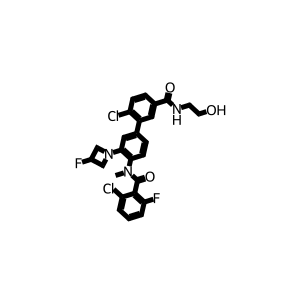 CN(C(=O)c1c(F)cccc1Cl)c1ccc(-c2cc(C(=O)NCCO)ccc2Cl)cc1N1CC(F)C1